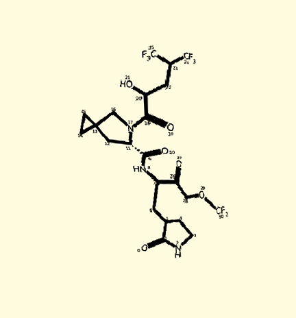 O=C1NCCC1CC(NC(=O)[C@@H]1CC2(CC2)CN1C(=O)C(O)CC(C(F)(F)F)C(F)(F)F)C(=O)COC(F)(F)F